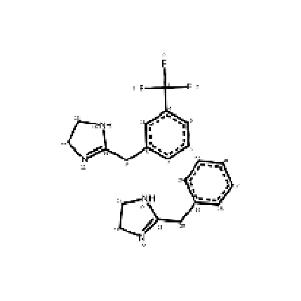 FC(F)(F)c1cccc(CC2=NCCN2)c1.c1ccc(CC2=NCCN2)cc1